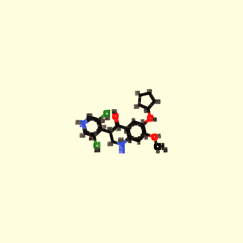 COc1cc2c(cc1OC1CCCC1)C(=O)C(c1c(Cl)cncc1Cl)CN2